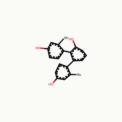 CC(C)(C)c1cc(O)ccc1-c1cccc(O)c1-c1ccc(O)cc1C(C)(C)C